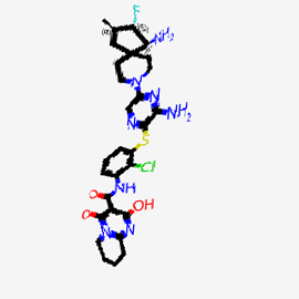 C[C@@H]1CC2(CCN(c3cnc(Sc4cccc(NC(=O)c5c(O)nc6n(c5=O)CCCC6)c4Cl)c(N)n3)CC2)[C@H](N)[C@H]1F